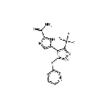 NC(=O)c1ncc(-c2c(C(F)(F)F)n[nH]c2Cc2cccnc2)[nH]1